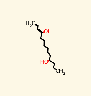 C=CC=C(O)CCCCCCC(O)CCC